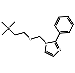 C[Si](C)(C)CCOCn1ccnc1-c1ccccc1